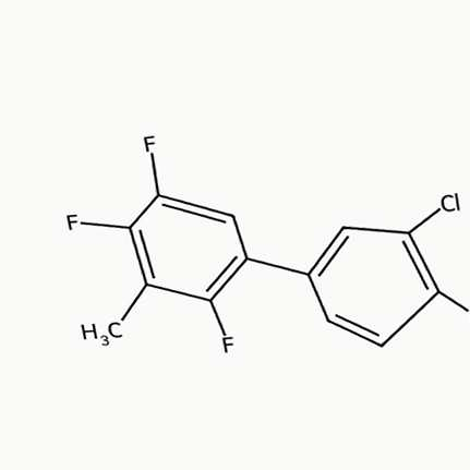 Cc1c(F)c(F)cc(-c2ccc(C#N)c(Cl)c2)c1F